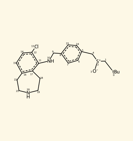 CC(C)(C)C[S+]([O-])Cc1ccc(CNc2c(Cl)ccc3c2CCNCC3)cc1